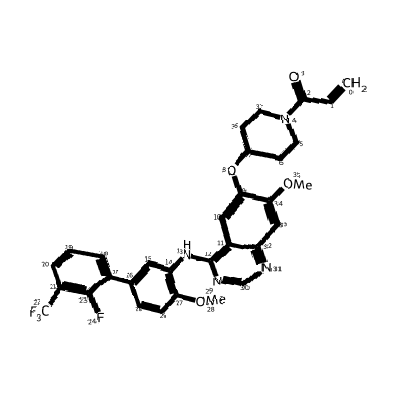 C=CC(=O)N1CCC(Oc2cc3c(Nc4cc(-c5cccc(C(F)(F)F)c5F)ccc4OC)ncnc3cc2OC)CC1